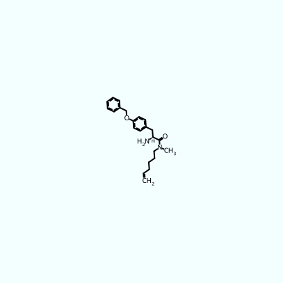 C=CCCCCN(C)C(=O)[C@@H](N)Cc1ccc(OCc2ccccc2)cc1